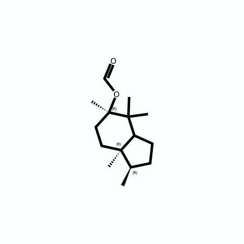 C[C@@H]1CCC2C(C)(C)[C@](C)(OC=O)CC[C@@]21C